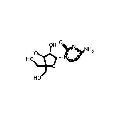 Nc1ccn([C@@H]2OC(CO)(CO)[C@@H](O)[C@H]2O)c(=O)n1